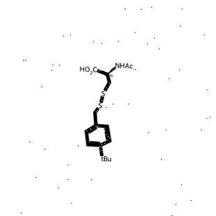 CC(=O)N[C@@H](CSSCc1ccc(C(C)(C)C)cc1)C(=O)O